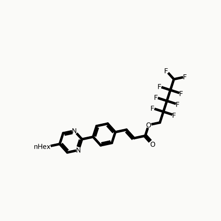 CCCCCCc1cnc(-c2ccc(C=CC(=O)OCC(F)(F)C(F)(F)C(F)(F)C(F)F)cc2)nc1